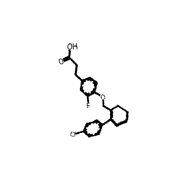 O=C(O)CCc1ccc(OCC2=C(c3ccc(Cl)cc3)CCCC2)c(F)c1